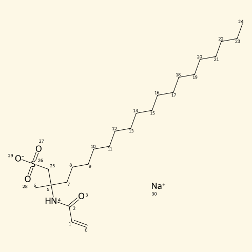 C=CC(=O)NC(C)(CCCCCCCCCCCCCCCCCC)CS(=O)(=O)[O-].[Na+]